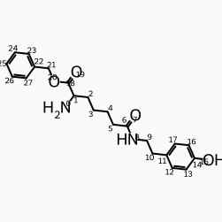 NC(CCCCC(=O)NCCc1ccc(O)cc1)C(=O)OCc1ccccc1